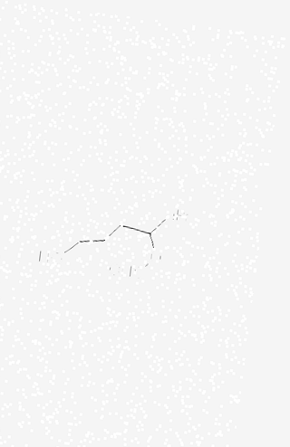 [CH2]CCC(CCCO)OC=O